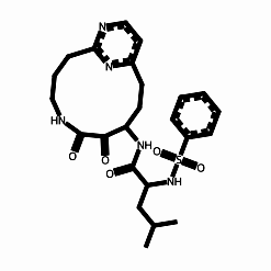 CC(C)CC(NS(=O)(=O)c1ccccc1)C(=O)NC1CCc2ccnc(n2)CCCNC(=O)C1=O